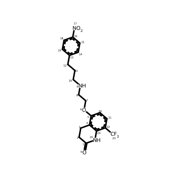 O=C1CCc2c(OCCNCCCc3ccc([N+](=O)[O-])cc3)ccc(C(F)(F)F)c2N1